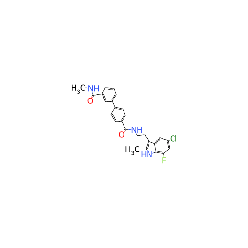 CNC(=O)c1cccc(-c2ccc(C(=O)NCCc3c(C)[nH]c4c(F)cc(Cl)cc34)cc2)c1